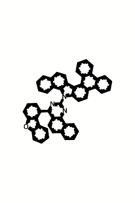 c1ccc2c(c1)ccc1c(-c3cccc4oc5ccccc5c34)nc(-n3c4ccc5c6ccccc6c6ccccc6c5c4c4ccc5ccccc5c43)nc12